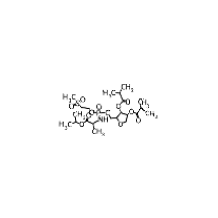 CC(C)OC(=O)[C@H](C)NP(=O)(OCCS(C)(=O)=O)OCC1OCC(OC(=O)C(C)C)C1OC(=O)C(C)C